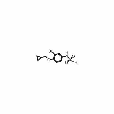 O=S(=O)(O)Nc1ccc(OCC2CC2)c(Br)c1